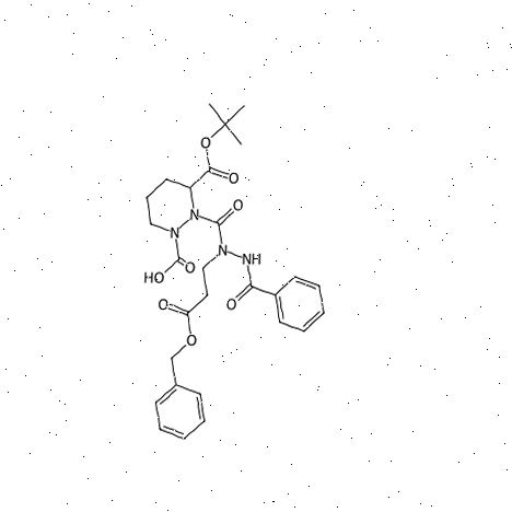 CC(C)(C)OC(=O)C1CCCN(C(=O)O)N1C(=O)N(CCC(=O)OCc1ccccc1)NC(=O)c1ccccc1